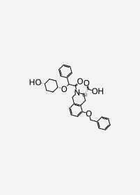 O=C(O)[C@@H]1Cc2c(cccc2OCc2ccccc2)CN1C(=O)C(O[C@H]1CC[C@@H](O)CC1)c1ccccc1